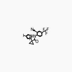 N#Cc1cc(C(F)(F)F)ccc1NC(=O)C1(n2cc(I)cn2)CC1